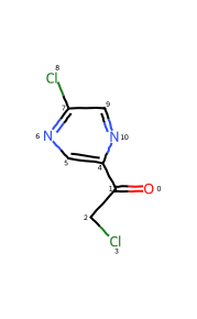 O=C(CCl)c1cnc(Cl)cn1